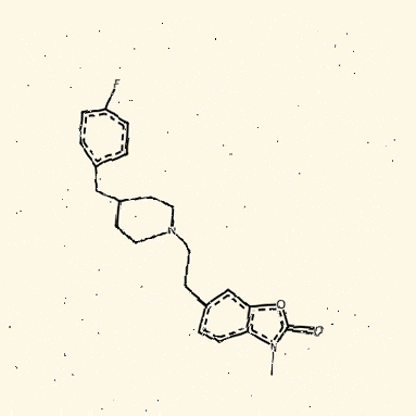 Cn1c(=O)oc2cc(CCN3CCC(Cc4ccc(F)cc4)CC3)ccc21